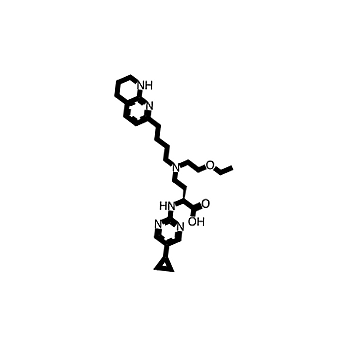 CCOCCN(CCCCc1ccc2c(n1)NCCC2)CC[C@H](Nc1ncc(C2CC2)cn1)C(=O)O